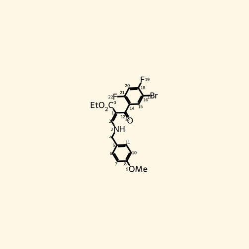 CCOC(=O)C(=CNCc1ccc(OC)cc1)C(=O)c1cc(Br)c(F)cc1F